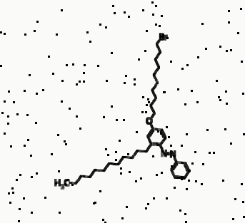 CCCCCCCCCCCCc1cc(OCCCCCCCCCCBr)ccc1N=Nc1ccccc1